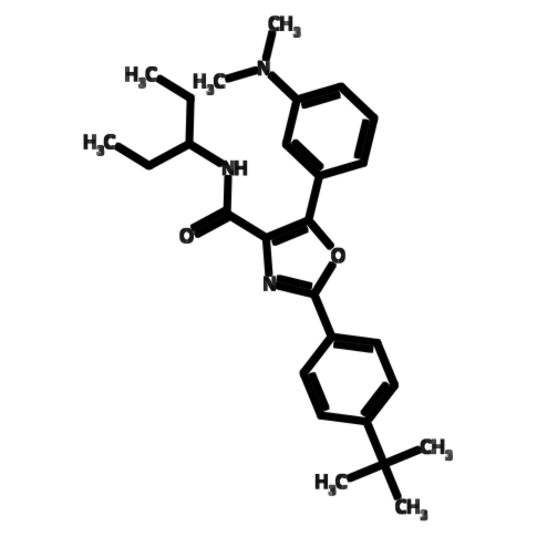 CCC(CC)NC(=O)c1nc(-c2ccc(C(C)(C)C)cc2)oc1-c1cccc(N(C)C)c1